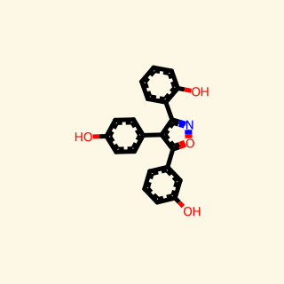 Oc1ccc(-c2c(-c3ccccc3O)noc2-c2cccc(O)c2)cc1